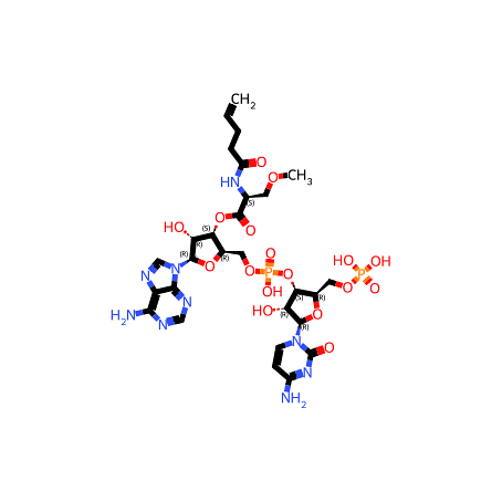 C=CCCC(=O)N[C@@H](COC)C(=O)O[C@H]1[C@@H](O)[C@H](n2cnc3c(N)ncnc32)O[C@@H]1COP(=O)(O)O[C@H]1[C@@H](O)[C@H](n2ccc(N)nc2=O)O[C@@H]1COP(=O)(O)O